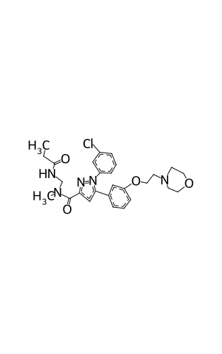 CCC(=O)NCN(C)C(=O)c1cc(-c2cccc(OCCN3CCOCC3)c2)n(-c2cccc(Cl)c2)n1